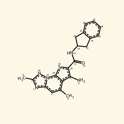 Cc1nc2cc(C)c3c(N)c(C(=O)NC4Cc5ccccc5C4)sc3n2n1